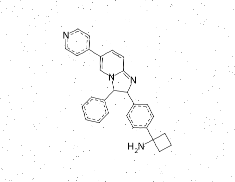 NC1(c2ccc(C3N=C4C=CC(c5ccncc5)=CN4C3c3ccccc3)cc2)CCC1